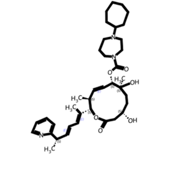 C/C(=C\C=C\[C@H](C)c1ccccn1)[C@H]1OC(=O)C[C@@H](O)CC[C@](C)(O)[C@@H](OC(=O)N2CCCN(C3CCCCCC3)CC2)/C=C/[C@@H]1C